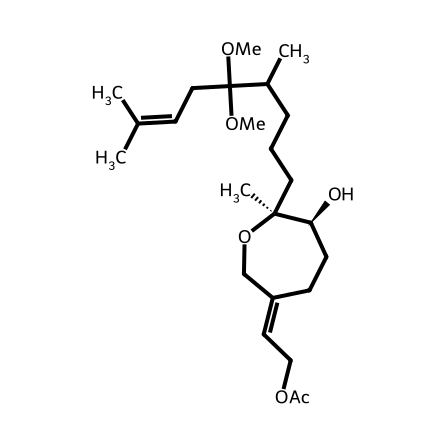 COC(CC=C(C)C)(OC)C(C)CCC[C@]1(C)OC/C(=C/COC(C)=O)CC[C@@H]1O